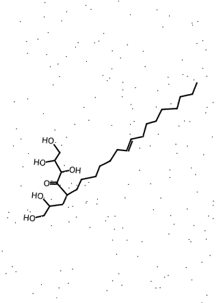 CCCCCCCCC=CCCCCCCC(CC(O)CO)C(=O)C(O)C(O)CO